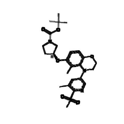 Cc1cc(N2CCOc3ccc(O[C@H]4CCN(C(=O)OC(C)(C)C)C4)c(C)c32)cnc1S(C)(=O)=O